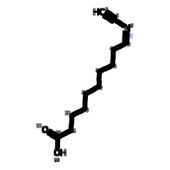 C#C/N=C\CCCCCCCCC(=O)O